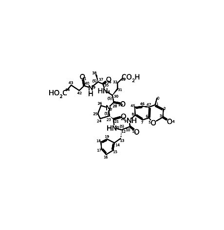 Cc1cc(=O)oc2cc(NC(=O)[C@H](Cc3ccccc3)NC(=O)[C@@H]3CCCN3C(=O)[C@H](CCC(=O)O)NC(=O)[C@H](C)NC(=O)CCC(=O)O)ccc12